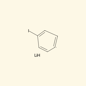 Ic1cc[c]cc1.[LiH]